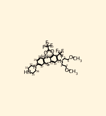 COCCN(CCOC)c1cc2c(c(OC(=O)C(F)(F)F)c1C(F)(F)F)Nc1ccc(N3CCNCC3)cc1S2